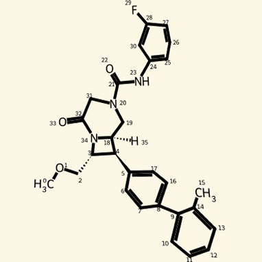 COC[C@H]1[C@H](c2ccc(-c3ccccc3C)cc2)[C@@H]2CN(C(=O)Nc3cccc(F)c3)CC(=O)N12